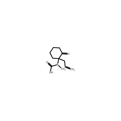 C=CCC1(N(C)C(=O)O)CCCCC1=O